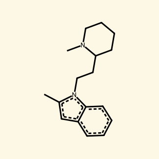 Cc1cc2ccccc2n1CCC1CCCCN1C